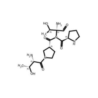 C[C@@H](O)[C@H](N)C(=O)N1CC[C@@H](C(=O)N(C(=O)[C@H]2CCCN2)[C@](N)(C=O)[C@@H](C)O)C1